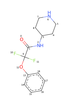 O=C(NC1CCNCC1)C(F)(F)Oc1ccccc1